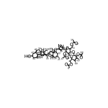 CC(=O)OCC1O[C@@H](O[C@@H]2C(COC(C)=O)O[C@@H](n3cc(CN4C[C@@H](C)C[C@H]5O[C@]6(CC[C@@H]7C(=C6C)C[C@H]6[C@H]7CC=C7C[C@@H](O)CC[C@@]76C)[C@H](C)[C@@H]54)nn3)[C@@H](OC(C)=O)C2C)[C@@H](OC(C)=O)C(C)[C@H]1C